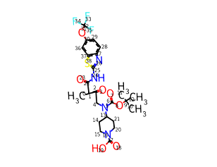 CC(C(=O)CN(C(=O)OC(C)(C)C)C1CCN(C(=O)O)CC1)C(=O)Nc1nc2ccc(OC(F)(F)F)cc2s1